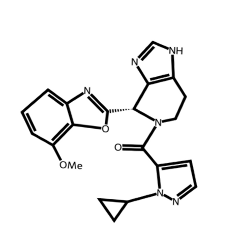 COc1cccc2nc([C@@H]3c4nc[nH]c4CCN3C(=O)c3ccnn3C3CC3)oc12